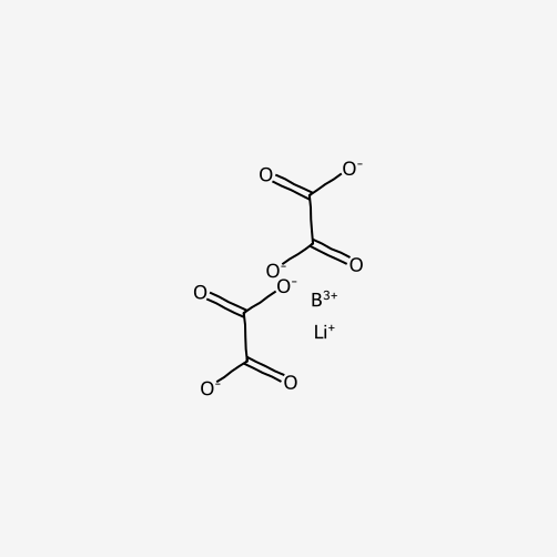 O=C([O-])C(=O)[O-].O=C([O-])C(=O)[O-].[B+3].[Li+]